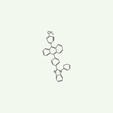 Cc1c#cc(-c2c3ccccc3c(-c3ccc(-c4nc5ccccc5n4C4=CC=CCC4)cc3)c3ccccc23)cc1